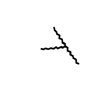 CCCCCC=CCC[C](C=CCCCCCCC)C=CCCCCCCCC